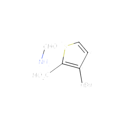 CCCCc1ccsc1C(=O)O.NC=O